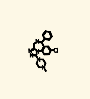 CN1CCN(c2nnc3n2-c2ccc(Cl)cc2C(c2ccccc2)=NC3)CC1